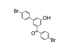 O=C(c1ccc(Br)cc1)c1cc(O)cc(-c2ccc(Br)cc2)c1